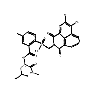 CNC(=O)[C@H](CC(C)C)NC(=O)c1cc(C)ccc1P(=O)(O)CN1C(=O)c2cccc3c(O)c(Br)cc(c23)C1=O